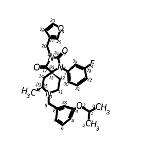 CC(C)Oc1cccc(CN2CC[C@@]3(C[C@@H]2C)C(=O)N(Cc2ccoc2)C(=O)N3c2cccc(F)c2)c1